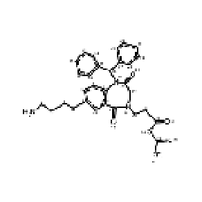 NCCCCc1ccc2c(c1)C(=O)N(CCC(=O)OC(=O)C(F)(F)F)CC(=O)N2C(c1ccccc1)c1ccccc1